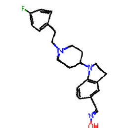 ON=Cc1ccc2c(c1)CCN2C1CCN(CCc2ccc(F)cc2)CC1